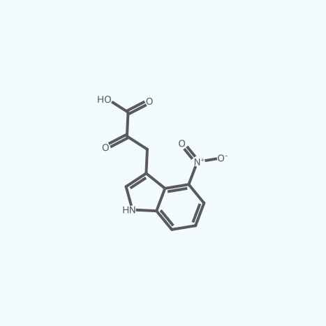 O=C(O)C(=O)Cc1c[nH]c2cccc([N+](=O)[O-])c12